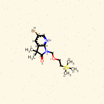 CC1(C)C(=O)N(COCCS(C)(C)C)c2ncc(Br)cc21